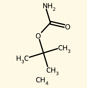 C.CC(C)(C)OC(N)=O